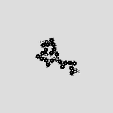 CC1(C)c2ccccc2-c2ccc(-n3c4ccccc4c4ccc(-c5ccc6c(c5)c5ccccc5n6-c5ccc(-c6nc(-c7ccc(-n8c9ccccc9c9cc(-c%10ccc%11c%12ccccc%12n(-c%12ccc%13c(c%12)C(C)(C)c%12ccccc%12-%13)c%11c%10)ccc98)cc7)nc(-c7cccc(-n8c9ccccc9c9cc(-c%10ccc%11c%12ccccc%12n(-c%12ccc%13c(c%12)C(C)(C)c%12ccccc%12-%13)c%11c%10)ccc98)c7)n6)cc5)cc43)cc21